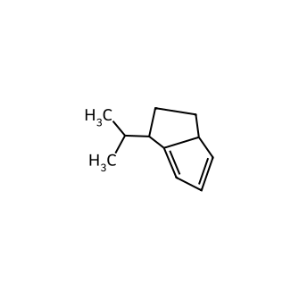 CC(C)C1CCC2C=CC=C21